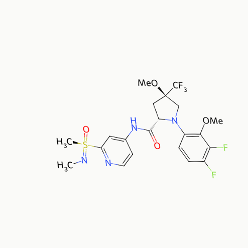 CN=[S@](C)(=O)c1cc(NC(=O)[C@@H]2C[C@](OC)(C(F)(F)F)CN2c2ccc(F)c(F)c2OC)ccn1